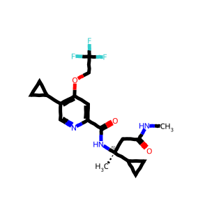 CNC(=O)C[C@](C)(NC(=O)c1cc(OCC(F)(F)F)c(C2CC2)cn1)C1CC1